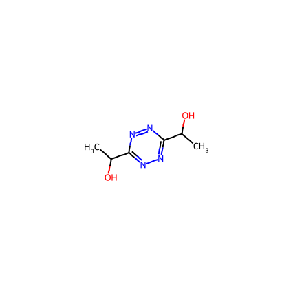 CC(O)c1nnc(C(C)O)nn1